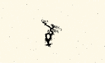 CC(C)(C)C1CCc2nc3c(C#CCCCO)c(C(N)=O)[nH]c3cc2C1